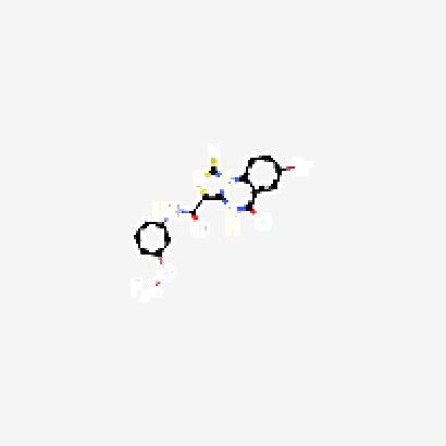 O=C(Nc1cccc(OC(F)(F)F)c1)c1sc(=S)n2c1[nH]c(=O)c1cc(Br)ccc12